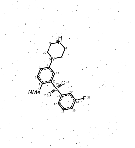 CNc1ccc(N2CCNCC2)cc1S(=O)(=O)c1cccc(F)c1